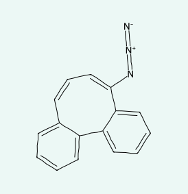 [N-]=[N+]=NC1=C/C=C\c2ccccc2-c2ccccc21